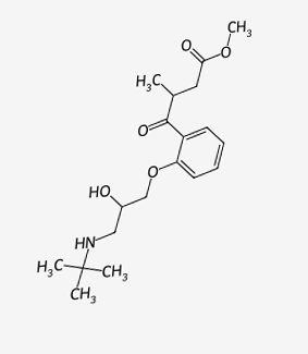 COC(=O)CC(C)C(=O)c1ccccc1OCC(O)CNC(C)(C)C